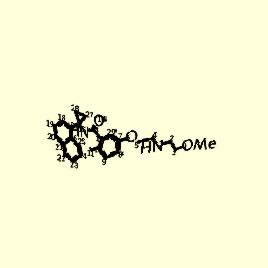 COCCNCCOc1ccc(C)c(C(=O)NC2(c3cccc4ccccc34)CC2)c1